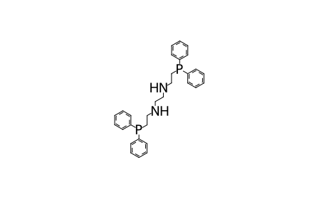 c1ccc(P(CCNCCNCCP(c2ccccc2)c2ccccc2)c2ccccc2)cc1